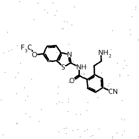 N#Cc1ccc(C(=O)Nc2nc3ccc(OC(F)(F)F)cc3s2)c(CCN)c1